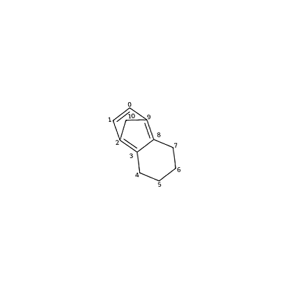 C1=CC2=C3CCCCC3=C1C2